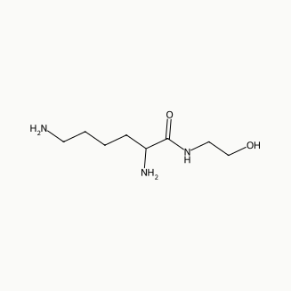 NCCCCC(N)C(=O)NCCO